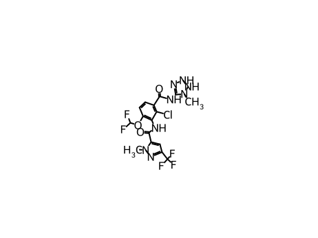 CN1NNN=C1NC(=O)c1ccc(OC(F)F)c(NC(=O)c2cc(C(F)(F)F)nn2C)c1Cl